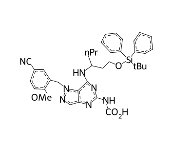 CCCC(CCO[Si](c1ccccc1)(c1ccccc1)C(C)(C)C)Nc1nc(NC(=O)O)nc2cnn(Cc3cc(C#N)ccc3OC)c12